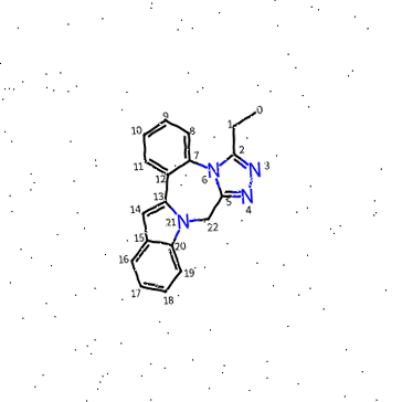 CCc1nnc2n1-c1ccccc1-c1cc3ccccc3n1C2